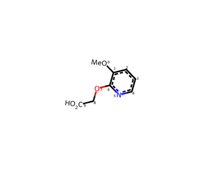 COc1cccnc1OCC(=O)O